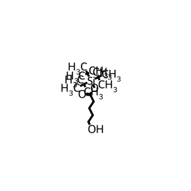 CC(C)(C)[Si](OC(=O)CCCCO)(C(C)(C)C)C(C)(C)C